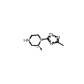 Cc1noc(N2CCNC[C@@H]2C)n1